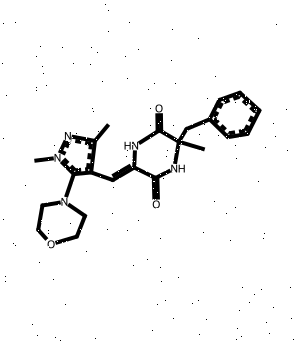 Cc1nn(C)c(N2CCOCC2)c1/C=C1\NC(=O)C(C)(Cc2ccccc2)NC1=O